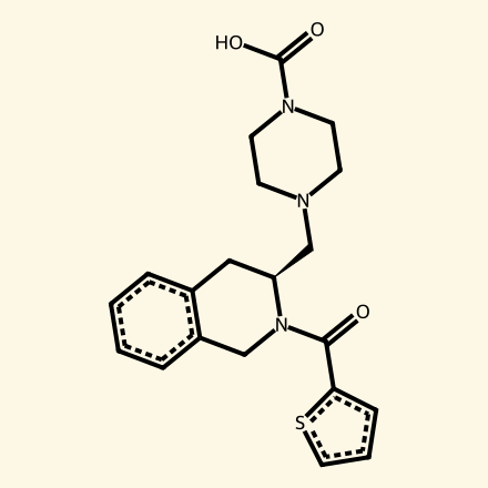 O=C(O)N1CCN(C[C@@H]2Cc3ccccc3CN2C(=O)c2cccs2)CC1